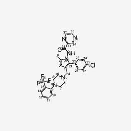 Cc1cc(CN2CCN(c3ccccc3C(F)(F)F)CC2)c(-c2ccc(Cl)cc2)n1NC(=O)c1cnccn1